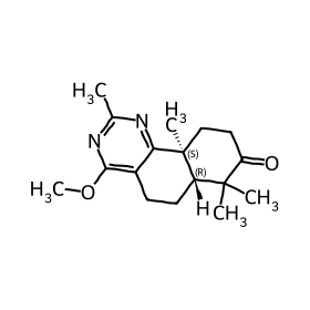 COc1nc(C)nc2c1CC[C@H]1C(C)(C)C(=O)CC[C@]21C